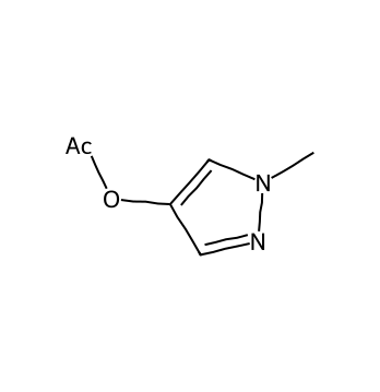 CC(=O)Oc1cnn(C)c1